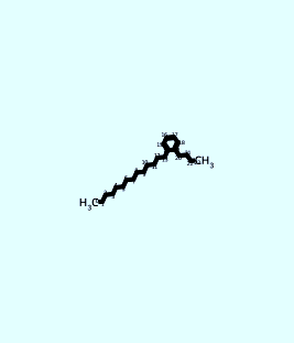 CCCCCCCCCCCCCCc1ccccc1CCCC